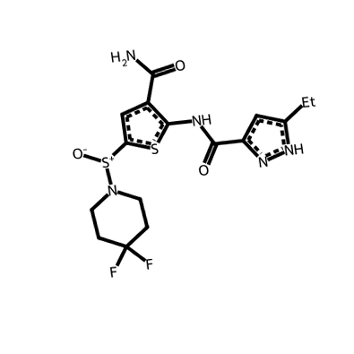 CCc1cc(C(=O)Nc2sc([S+]([O-])N3CCC(F)(F)CC3)cc2C(N)=O)n[nH]1